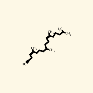 C#CCC=C(C)CCCC(C)CCC=C(C)CCCC(C)C